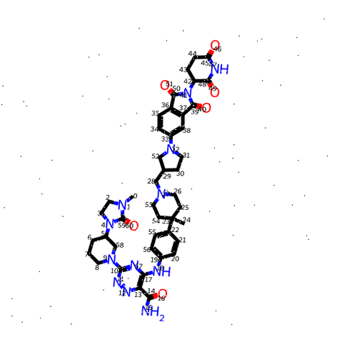 CN1CCN(C2CCCN(c3nnc(C(N)=O)c(Nc4ccc(C5(C)CCN(CC6CCN(c7ccc8c(c7)C(=O)N(C7CCC(=O)NC7=O)C8=O)C6)CC5)cc4)n3)C2)C1=O